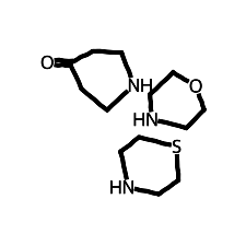 C1COCCN1.C1CSCCN1.O=C1CCNCC1